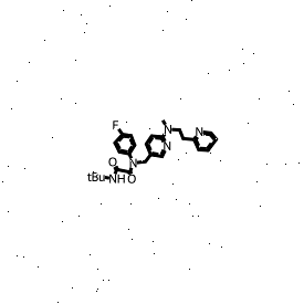 CN(CCc1ccccn1)c1ccc(CN(C(=O)C(=O)NC(C)(C)C)c2ccc(F)cc2)cn1